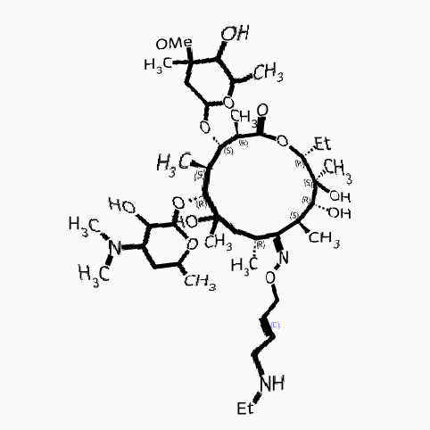 CCNC/C=C/CON=C1[C@H](C)CC(C)(O)[C@H](OC2OC(C)CC(N(C)C)C2O)[C@@H](C)[C@H](OC2CC(C)(OC)C(O)C(C)O2)[C@@H](C)C(=O)O[C@H](CC)[C@@](C)(O)[C@H](O)[C@H]1C